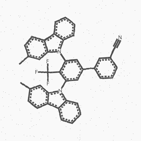 Cc1ccc2c3ccccc3n(-c3cc(-c4cccc(C#N)c4)cc(-n4c5ccccc5c5ccc(C)cc54)c3C(F)(F)F)c2c1